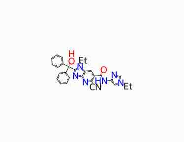 CCn1cnc(NC(=O)c2cc3c(nc2C#N)nc(C(O)(c2ccccc2)c2ccccc2)n3CC)c1